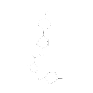 CCc1ccc(Nc2nnc(C(=O)Nc3ccc(C4CCC(CC(=O)O)CC4)cc3)o2)cc1